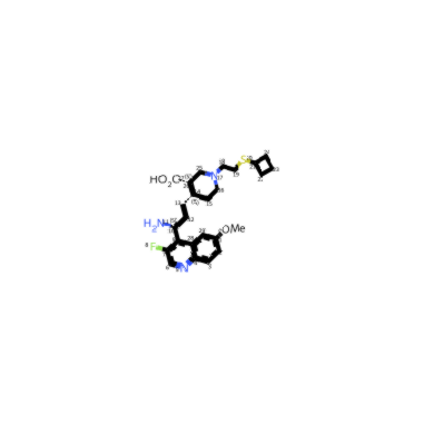 COc1ccc2ncc(F)c([C@@H](N)CC[C@H]3CCN(CCSC4CCC4)C[C@H]3C(=O)O)c2c1